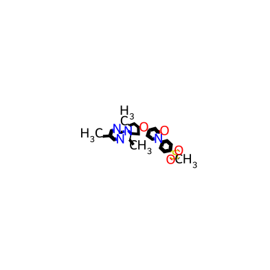 CCc1cnc(N2[C@H](CC)C[C@H](Oc3ccn(-c4ccc(S(C)(=O)=O)cc4)c(=O)c3)C[C@H]2C)nc1